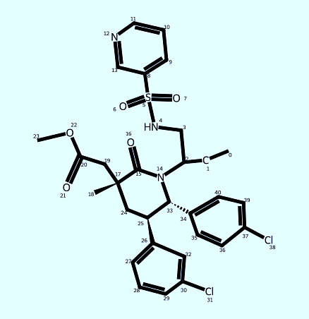 CCC(CNS(=O)(=O)c1cccnc1)N1C(=O)[C@@](C)(CC(=O)OC)C[C@H](c2cccc(Cl)c2)[C@H]1c1ccc(Cl)cc1